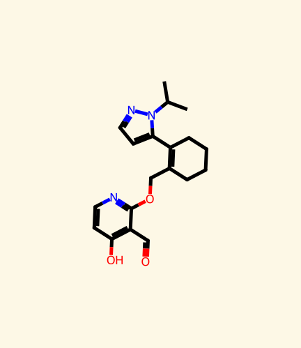 CC(C)n1nccc1C1=C(COc2nccc(O)c2C=O)CCCC1